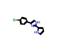 Brc1ccc(-c2c[nH]c(-c3ccc[nH]3)n2)cc1